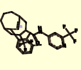 Cc1cccc(C2/C=C/C3CCCC2CC(C(F)(F)F)C(C(=O)Nc2ccnc(C(F)(F)F)c2)C3)c1C